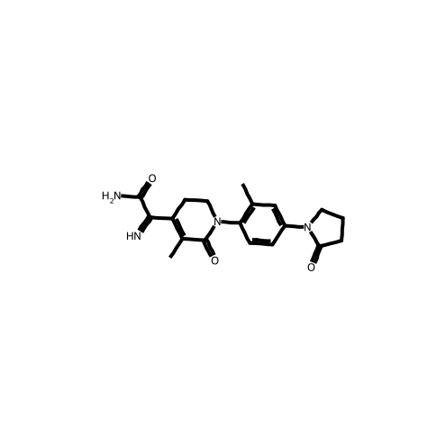 CC1=C(C(=N)C(N)=O)CCN(c2ccc(N3CCCC3=O)cc2C)C1=O